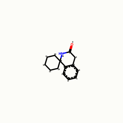 O=C1Cc2ccccc2C2(CCCCC2)N1